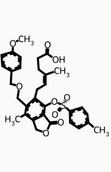 COc1ccc(COCc2c(C)c3c(c(OS(=O)(=O)c4ccc(C)cc4)c2CC=C(C)CCC(=O)O)C(=O)OC3)cc1